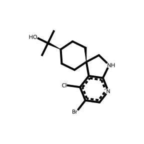 CC(C)(O)[C@H]1CC[C@@]2(CC1)CNc1ncc(Br)c(Cl)c12